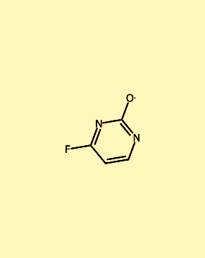 [O]c1nccc(F)n1